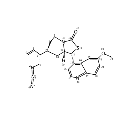 C=C[C@@H](CN=[N+]=[N-])[C@H]1CCN2C(=O)S[C@H](c3ccnc4ccc(OC)cc34)[C@@H]2C1